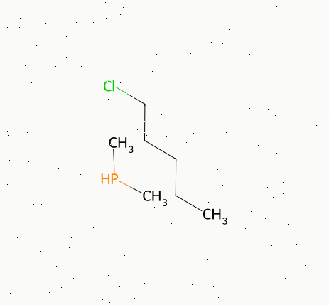 CCCCCCl.CPC